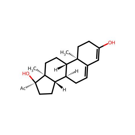 CC(=O)[C@@]1(O)CC[C@H]2[C@@H]3CC=C4C=C(O)CC[C@]4(C)[C@H]3CC[C@@]21C